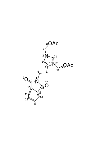 CC(=O)OCn1cc(CCN2C(=O)c3ccccc3C2=O)[n+](COC(C)=O)c1